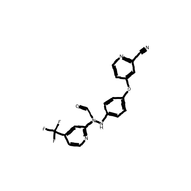 N#Cc1cc(Oc2ccc(NN(C=O)c3cc(C(F)(F)F)ccn3)cc2)ccn1